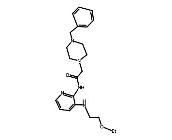 CCOCCNc1cccnc1NC(=O)CN1CCN(Cc2ccccc2)CC1